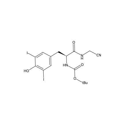 CC(C)(C)OC(=O)N[C@@H](Cc1cc(I)c(O)c(I)c1)C(=O)NCC#N